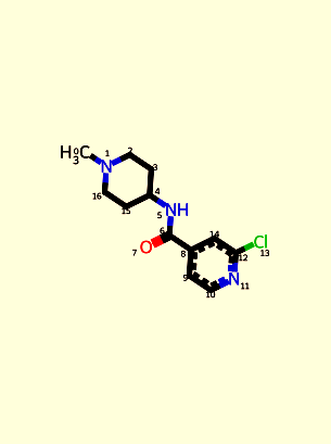 CN1CCC(NC(=O)c2ccnc(Cl)c2)CC1